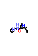 C=C/C=C(\C)c1cc(C(=O)NCCN2CCCCC2)cc(C)n1